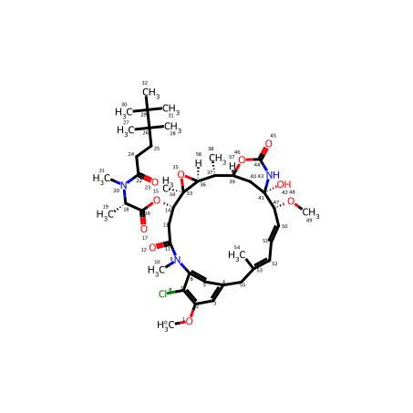 COc1cc2cc(c1Cl)N(C)C(=O)C[C@H](OC(=O)[C@H](C)N(C)C(=O)CCC(C)(C)C(C)(C)C)[C@@]1(C)O[C@H]1[C@H](C)[C@@H]1C[C@@](O)(NC(=O)O1)[C@H](OC)/C=C/C=C(\C)C2